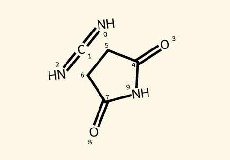 N=C=N.O=C1CCC(=O)N1